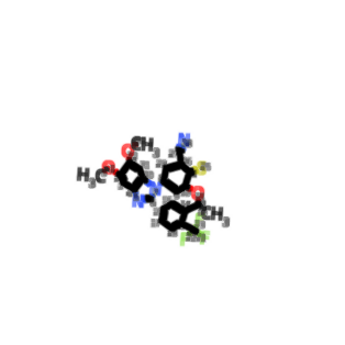 COc1cc2ncn(C3=CC(O[C@H](C)c4ccccc4C(F)(F)F)C(=S)C(C#N)=C3)c2cc1OC